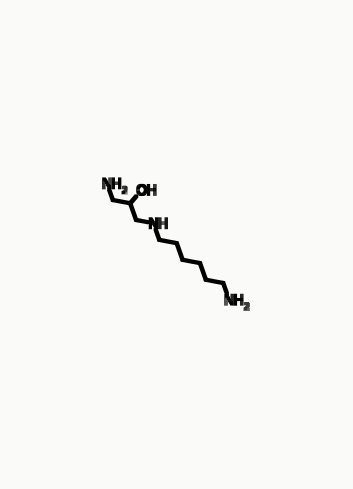 NCCCCCCNCC(O)CN